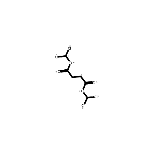 O=C(CCC(=O)OC(Cl)Cl)OC(Cl)Cl